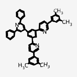 Cc1cc(C)cc(-c2ccc(-c3cc(-c4cc(-c5ccccc5)nc(-c5ccccc5)c4)cc(-c4ccc(-c5cc(C)cc(C)c5)cn4)c3)nc2)c1